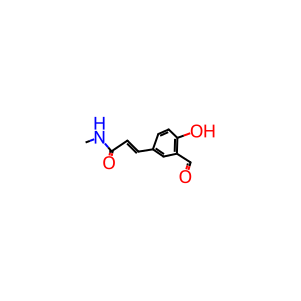 CNC(=O)C=Cc1ccc(O)c(C=O)c1